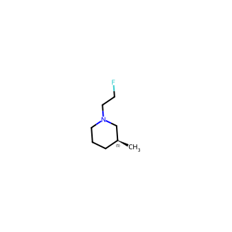 C[C@H]1CCCN(CCF)C1